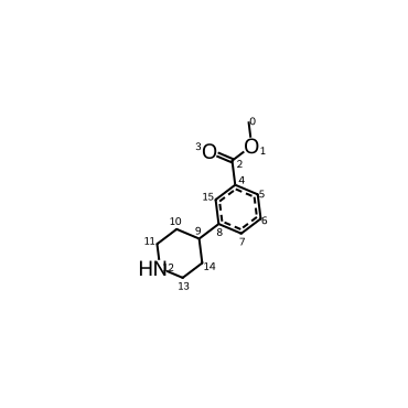 COC(=O)c1cccc(C2CCNCC2)c1